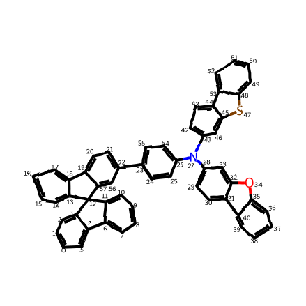 c1ccc2c(c1)-c1ccccc1C21c2ccccc2-c2ccc(-c3ccc(N(c4ccc5c(c4)oc4ccccc45)c4ccc5c(c4)sc4ccccc45)cc3)cc21